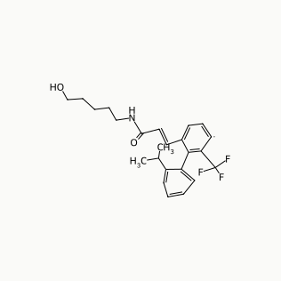 CC(C)c1ccccc1-c1c(C(F)(F)F)[c]ccc1/C=C/C(=O)NCCCCCO